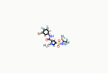 C[C@@H](NS(=O)(=O)c1cc(C(=O)Nc2cc(F)c(F)c(Br)c2)n(C)c1)C(F)(F)F